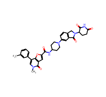 Cn1cc(-c2cccc(C(F)(F)F)c2)c2oc(C(=O)NC3CCN(c4ccc5c(c4)C(=O)N(C4CCC(=O)NC4=O)C5)CC3)cc2c1=O